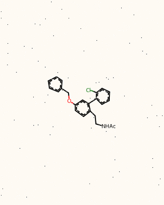 CC(=O)NCCc1ccc(OCc2ccccc2)cc1-c1ccccc1Cl